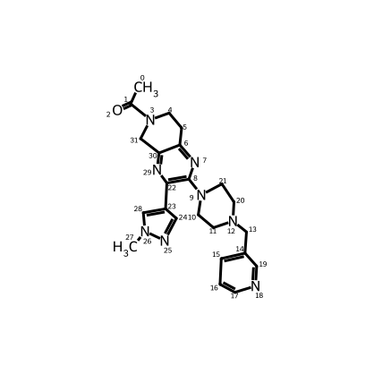 CC(=O)N1CCc2nc(N3CCN(Cc4cccnc4)CC3)c(-c3cnn(C)c3)nc2C1